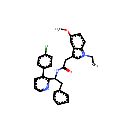 CCn1cc(CC(=O)NC(Cc2ccccc2)c2ncccc2-c2ccc(Cl)cc2)c2cc(OC)ccc21